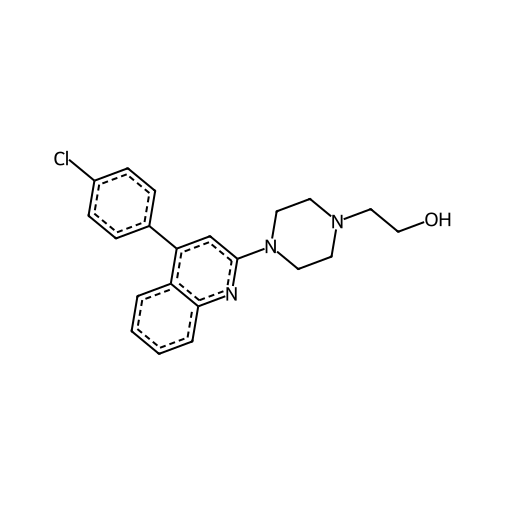 OCCN1CCN(c2cc(-c3ccc(Cl)cc3)c3ccccc3n2)CC1